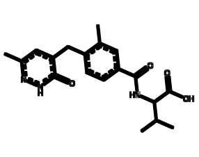 Cc1cc(Cc2ccc(C(=O)NC(C(=O)O)C(C)C)cc2C)c(=O)[nH]n1